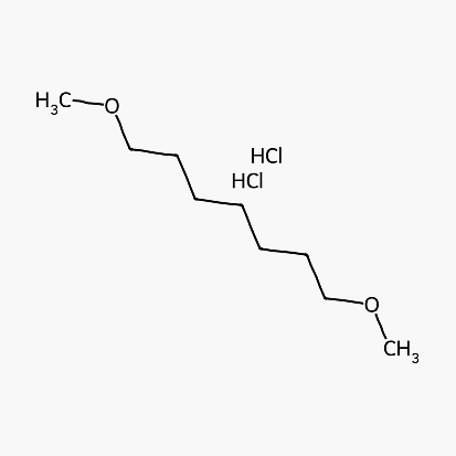 COCCCCCCCOC.Cl.Cl